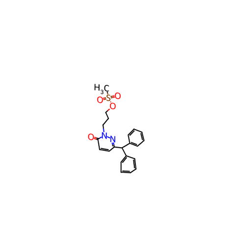 CS(=O)(=O)OCCCn1nc(C(c2ccccc2)c2ccccc2)ccc1=O